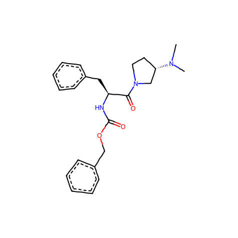 CN(C)[C@H]1CCN(C(=O)[C@H](Cc2ccccc2)NC(=O)OCc2ccccc2)C1